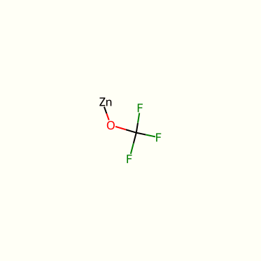 FC(F)(F)[O][Zn]